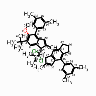 COc1c(C(C)(C)C)cc2c(c1-c1cc(C)cc(C)c1)C=C(C)[CH]2[Hf]([Cl])([Cl])([CH]1C(C)=Cc2c1cc1c(c2-c2cc(C)cc(C)c2)CCC1)=[Si](C)C